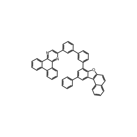 c1ccc(-c2cc(-c3cccc(-c4cccc(-c5cnc6c7ccccc7c7ccccc7c6n5)c4)c3)c3oc4ccc5ccccc5c4c3c2)cc1